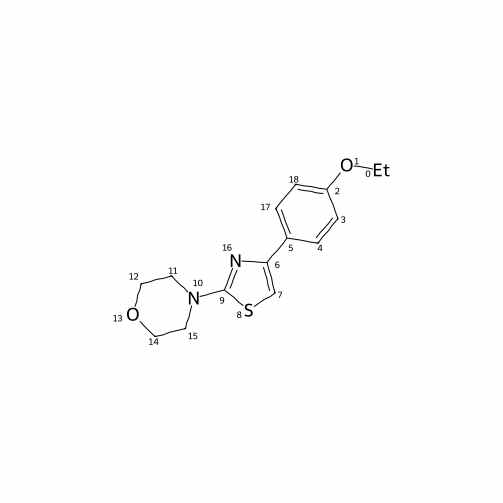 CCOc1ccc(-c2csc(N3CCOCC3)n2)cc1